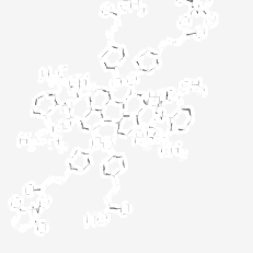 CC(=O)CCc1ccc(Oc2cc3c4c(cc(Oc5ccc(CCC(=O)ON6C(=O)CCC6=O)cc5)c5c6c(Oc7ccc(CCC(=O)O)cc7)cc7c8c(cc(Oc9ccc(CCC(=O)ON%10C(=O)CCC%10=O)cc9)c(c2c45)c86)C(=O)N(c2c(C(C)C)cccc2C(C)C)C7=O)C(=O)N(c2c(C(C)C)cccc2C(C)C)C3=O)cc1